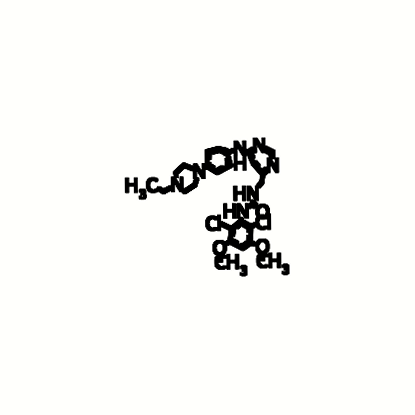 CCN1CCN(c2ccc(Nc3cc(CNC(=O)Nc4c(Cl)c(OC)cc(OC)c4Cl)ncn3)cc2)CC1